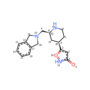 O=c1cc([C@@H]2CCN[C@H](CN3Cc4ccccc4C3)C2)o[nH]1